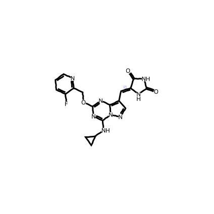 O=C1NC(=O)/C(=C/c2cnn3c(NC4CC4)nc(OCc4ncccc4F)nc23)N1